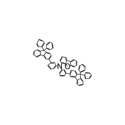 c1ccc(C2(c3ccccc3)c3ccccc3-c3cc(-c4cccc(N(c5cccc(-c6ccc7c(c6)-c6ccccc6C7(c6ccccc6)c6ccccc6)c5)c5cccc6c5oc5ccccc56)c4)ccc32)cc1